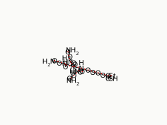 CCP(=O)(S)OCCOCCOCCOCCOCCC(=O)NC(CCC(=O)NC(CCC(=O)NCCOCCON)C(=O)NCCOCCON)C(=O)NCCOCCON